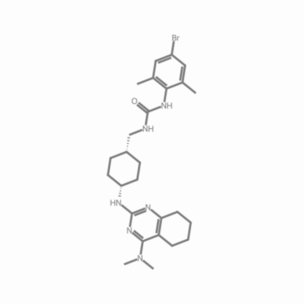 Cc1cc(Br)cc(C)c1NC(=O)NC[C@H]1CC[C@@H](Nc2nc3c(c(N(C)C)n2)CCCC3)CC1